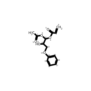 C=CC(=O)OC(OC(C)=O)C(O)COc1ccccc1